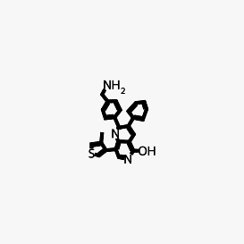 Cc1cscc1-c1cnc(O)c2cc(-c3ccccc3)c(-c3ccc(CN)cc3)nc12